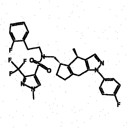 C[C@@H]1C2=C(CC[C@@H]2CN(CCc2ccccc2F)S(=O)(=O)c2cn(C)nc2C(F)(F)F)Cc2c1cnn2-c1ccc(F)cc1